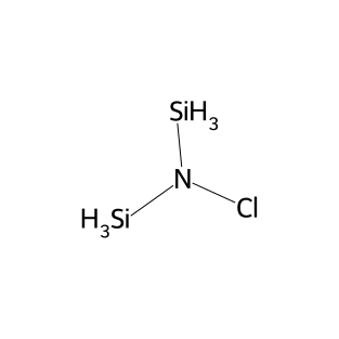 [SiH3]N([SiH3])Cl